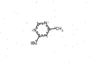 Cc1cc(C(C)(C)C)ncn1